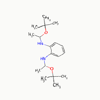 CC(Nc1ccccc1NC(C)OC(C)(C)C)OC(C)(C)C